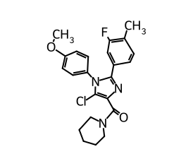 COc1ccc(-n2c(-c3ccc(C)c(F)c3)nc(C(=O)N3CCCCC3)c2Cl)cc1